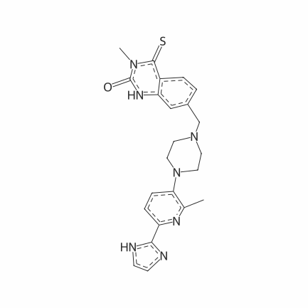 Cc1nc(-c2ncc[nH]2)ccc1N1CCN(Cc2ccc3c(=S)n(C)c(=O)[nH]c3c2)CC1